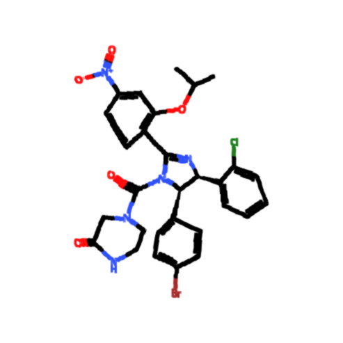 CC(C)Oc1cc([N+](=O)[O-])ccc1C1=N[C@@H](c2ccccc2Cl)[C@@H](c2ccc(Br)cc2)N1C(=O)N1CCNC(=O)C1